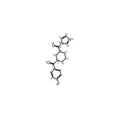 O=C(c1ccc(F)cc1)N1CCCC(C(=O)n2ccnc2)C1